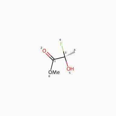 COC(=O)[C@](C)(O)F